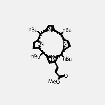 CCCCc1c2nc(c(CCCC)c3cc(/C=C/C(=O)OC)c([nH]3)c(CCCC)c3nc(c(CCCC)c4ccc1[nH]4)C=C3)C=C2